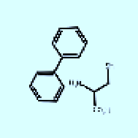 NC(CS)C(=O)O.c1ccc(-c2ccccc2)cc1